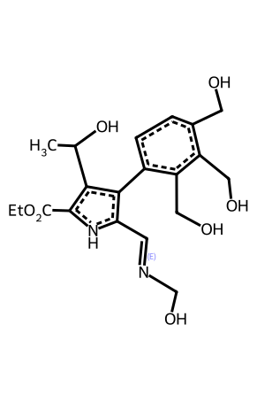 CCOC(=O)c1[nH]c(/C=N/CO)c(-c2ccc(CO)c(CO)c2CO)c1C(C)O